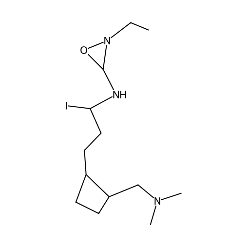 CCN1OC1NC(I)CCC1CCC1CN(C)C